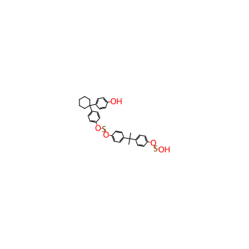 CC(C)(c1ccc(OSO)cc1)c1ccc(OSOc2ccc(C3(c4ccc(O)cc4)CCCCC3)cc2)cc1